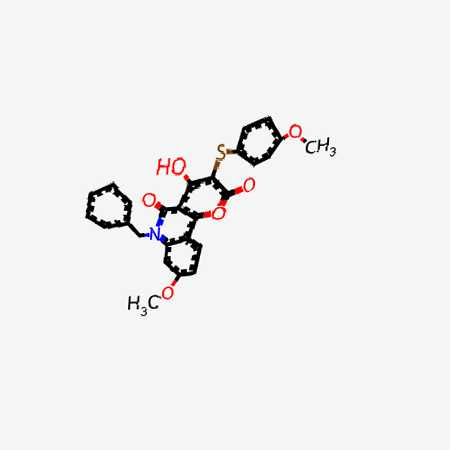 COc1ccc(Sc2c(O)c3c(=O)n(Cc4ccccc4)c4cc(OC)ccc4c3oc2=O)cc1